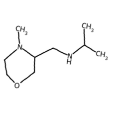 CC(C)NCC1COCCN1C